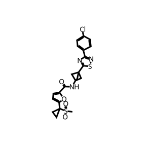 CS(=O)(=O)C1(c2ccc(C(=O)NC34CC(c5nc(-c6ccc(Cl)cc6)ns5)(C3)C4)o2)CC1